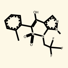 Cc1ccccc1C1=C(O)c2cnn(C)c2N(CC(F)(F)F)S1(=O)=O